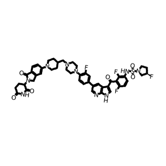 O=C1CCC(N2Cc3cc(N4CCC(CN5CCN(c6ccc(-c7cnc8[nH]cc(C(=O)c9c(F)ccc(NS(=O)(=O)N%10CC[C@@H](F)C%10)c9F)c8c7)cc6F)CC5)CC4)ccc3C2=O)C(=O)N1